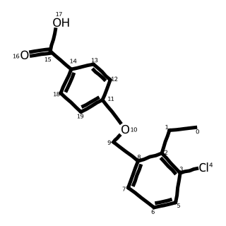 CCc1c(Cl)cccc1COc1ccc(C(=O)O)cc1